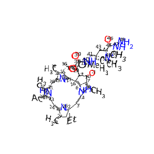 CC[C@H]1c2cc3[nH]c4c(c3C)C(=O)C(C(=O)OC)c4c3nc(cc4[nH]c(cc(n2)[C@@H]1C)c(C(C)=O)c4C)[C@@H](C)[C@@H]3CCC(=O)NCCC[C@@H](C(=O)NN)[N+](C)(C)C